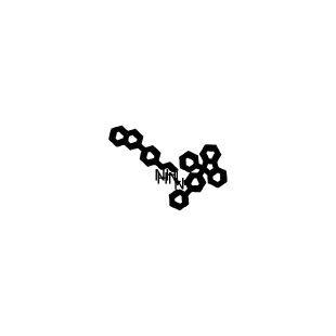 N=C(/C=C\Nn1c2ccccc2c2ccc(C3(C4C=CC=CC4)C4=C(C=CCC4)c4ccccc43)cc21)c1ccc(-c2ccc3ccccc3c2)cc1